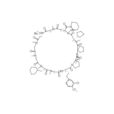 CCCN1C(=O)[C@H](C2CCCC2)N(C)C(=O)C2(CCCC2)NC(=O)[C@@H]2CCCN2C(=O)[C@H](CCc2ccc(C(F)(F)F)c(Cl)c2)NC(=O)CN(C)C(=O)[C@H](CC2CCCCC2)N(C)C(=O)CN(C)C(=O)CN(C)C(=O)[C@H]([C@@H](C)CC)NC(=O)[C@H](C)N(C)C(=O)C[C@H]1C(=O)N1CCCCC1